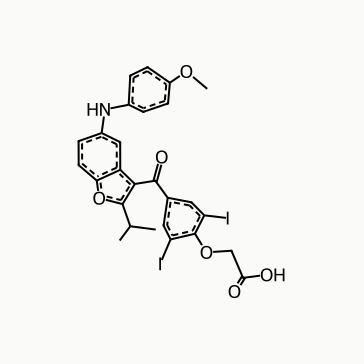 COc1ccc(Nc2ccc3oc(C(C)C)c(C(=O)c4cc(I)c(OCC(=O)O)c(I)c4)c3c2)cc1